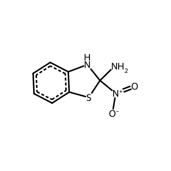 NC1([N+](=O)[O-])Nc2ccccc2S1